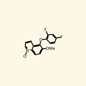 COc1ccc2c(ccc[n+]2[O-])c1Oc1ccc(F)cc1F